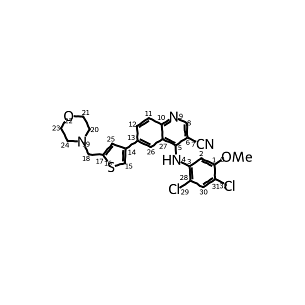 COc1cc(Nc2c(C#N)cnc3ccc(-c4csc(CN5CCOCC5)c4)cc23)c(Cl)cc1Cl